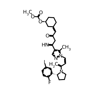 C=C(/C=C\n1ncc(C(=N)CC(=O)/C=C2/CCC[C@H](OC(=O)OC)C2)c1C)N1CCC[C@@H]1c1cc(I)ccc1F